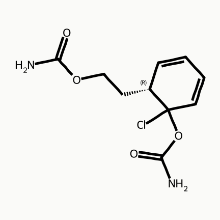 NC(=O)OCC[C@@H]1C=CC=CC1(Cl)OC(N)=O